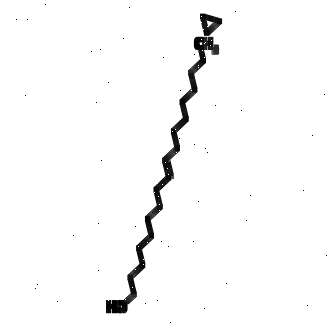 C1CC1.CCCCCCCCC=CCCCCCCCCO